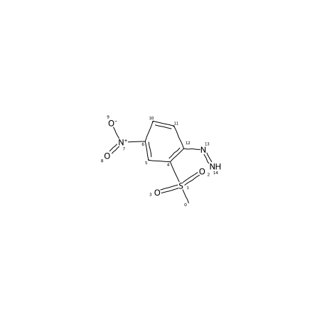 CS(=O)(=O)c1cc([N+](=O)[O-])ccc1N=N